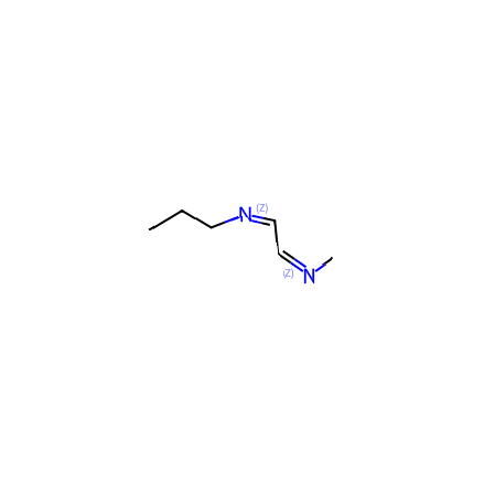 CCC/N=C\C=N/C